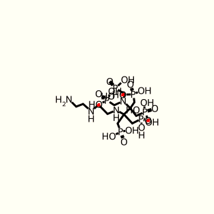 NCCNCCNC(CP(=O)(O)O)(CP(=O)(O)O)C(CP(=O)(O)O)(CP(=O)(O)O)N(CP(=O)(O)O)CP(=O)(O)O